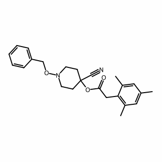 Cc1cc(C)c(CC(=O)OC2(C#N)CCN(OCc3ccccc3)CC2)c(C)c1